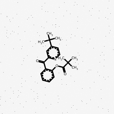 CC(C)(C)C(=O)Oc1ccccc1C(=O)c1cc(C(C)(C)C)ccn1